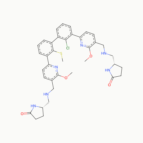 COc1nc(-c2cccc(-c3cccc(-c4ccc(CNC[C@@H]5CCC(=O)N5)c(OC)n4)c3SC)c2Cl)ccc1CNC[C@@H]1CCC(=O)N1